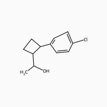 [CH2]C(O)C1CCC1c1ccc(Cl)cc1